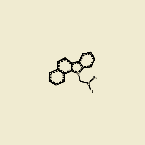 CCN(CC)Cn1c2ccccc2c2ccc3ccccc3c21